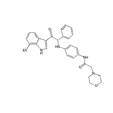 CCc1cccc2c(C(=O)C(Nc3ccc(NC(=O)CN4CCOCC4)cc3)c3ccccc3)c[nH]c12